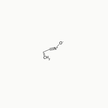 C=CC#[N+][O-]